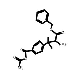 CNC(C(=O)OCc1ccccc1)C(C)(C)c1ccc(C(=O)OC(=O)C(F)(F)F)cc1